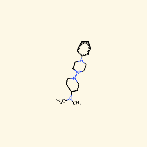 CN(C)C1CCN(N2CCN(c3ccccc3)CC2)CC1